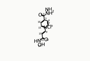 Cl.NNC(=O)c1ccc(C=CC(=O)NO)cc1